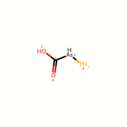 O=C(O)[AsH]P